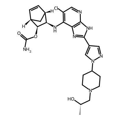 C[C@H](O)CN1CCC(n2cc(-c3nc4c(N[C@H]5[C@@H](OC(N)=O)[C@@H]6C=C[C@H]5C6)c(Cl)cnc4[nH]3)cn2)CC1